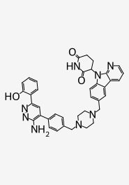 Nc1nnc(-c2ccccc2O)cc1-c1ccc(CN2CCN(Cc3ccc4c(c3)c3cccnc3n4C3CCC(=O)NC3=O)CC2)cc1